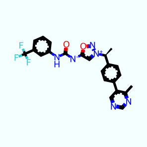 Cc1ncncc1-c1ccc([C@H](C)[n+]2cc([N-]C(=O)Nc3cccc(C(F)(F)F)c3)on2)cc1